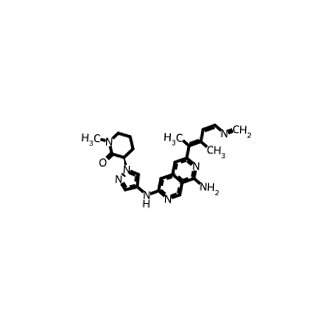 C=N/C=C\C(C)=C(/C)c1cc2cc(Nc3cnn([C@@H]4CCCN(C)C4=O)c3)ncc2c(N)n1